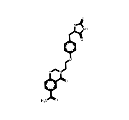 NC(=O)c1ccc2c(c1)C(=O)N(CCOc1ccc(CC3SC(=O)NC3=O)cc1)CO2